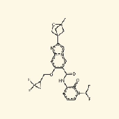 CC12CC(c3cn4cc(C(=O)Nc5cccn(C(F)F)c5=O)c(OCC5CC5(F)F)cc4n3)(CO1)C2